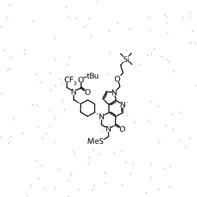 CSCN1CN([C@H]2CC[C@H](CN(CC(F)(F)F)C(=O)OC(C)(C)C)CC2)c2c(cnc3c2ccn3COCC[Si](C)(C)C)C1=O